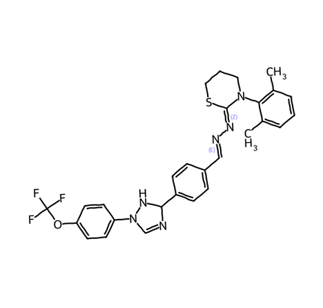 Cc1cccc(C)c1N1CCCS/C1=N\N=C\c1ccc(C2N=CN(c3ccc(OC(F)(F)F)cc3)N2)cc1